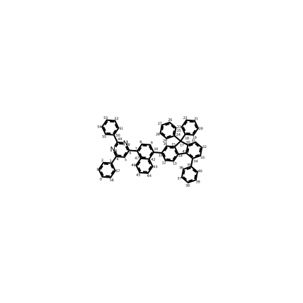 c1ccc(-c2cc(-c3ccc(-c4ccc5c(c4)C(c4ccccc4)(c4ccccc4)c4cccc(-c6ccccc6)c4-5)c4ccccc34)nc(-c3ccccc3)n2)cc1